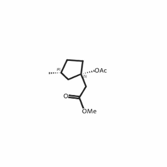 COC(=O)C[C@]1(OC(C)=O)CC[C@@H](C)C1